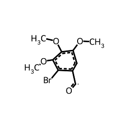 COc1cc([C]=O)c(Br)c(OC)c1OC